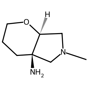 CN1C[C@@H]2OCCC[C@@]2(N)C1